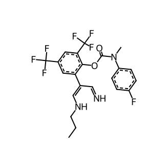 CCCN/C=C(\C=N)c1cc(C(F)(F)F)cc(C(F)(F)F)c1OC(=O)N(C)c1ccc(F)cc1